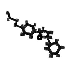 CCCCc1ccc(-c2ccc(-c3ccccc3)o2)cc1